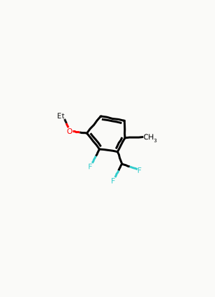 CCOc1ccc(C)c(C(F)F)c1F